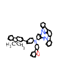 CC1(C)c2ccccc2-c2ccc(-c3ccc(N(c4ccc5oc6ccccc6c5c4)c4ccc5c(c4)n4c6ccccc6c6ccc7c8ccccc8n5c7c64)cc3)cc21